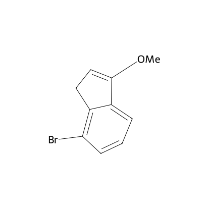 COC1=CCc2c(Br)cccc21